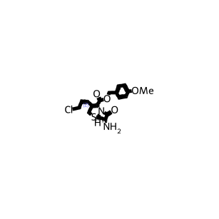 COc1ccc(COC(=O)C2=C(/C=C\CCl)CS[C@@H]3[C@H](N)C(=O)N23)cc1